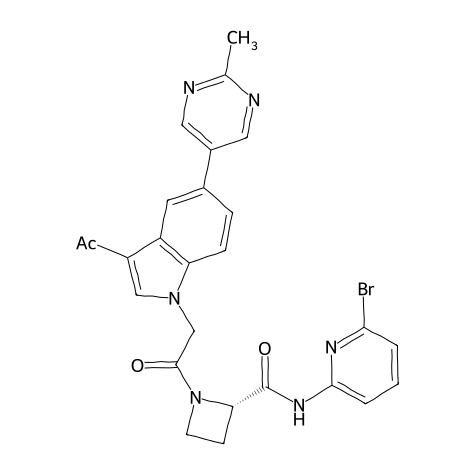 CC(=O)c1cn(CC(=O)N2CC[C@H]2C(=O)Nc2cccc(Br)n2)c2ccc(-c3cnc(C)nc3)cc12